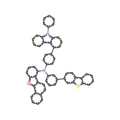 c1ccc(-n2c3ccccc3c3c(-c4ccc(N(c5cccc(-c6ccc7c(c6)sc6ccccc67)c5)c5cccc6oc7c8ccccc8ccc7c56)cc4)cccc32)cc1